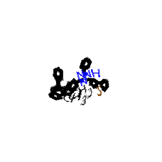 CC1(C)c2cc(C3=NC(c4ccc5sc6ccccc6c5c4)NC(c4ccccc4)=N3)ccc2-c2c(-c3ccccc3)cc3ccccc3c21